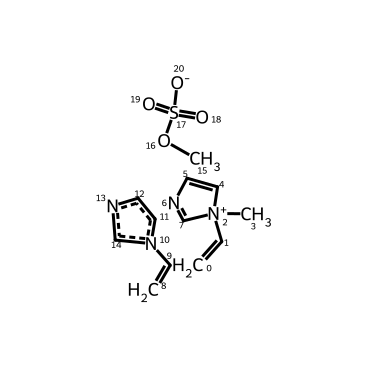 C=C[N+]1(C)C=CN=C1.C=Cn1ccnc1.COS(=O)(=O)[O-]